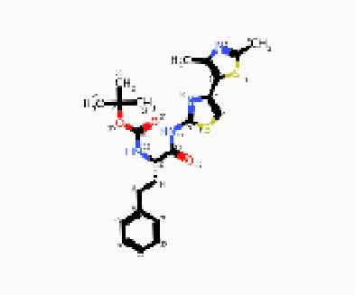 Cc1nc(C)c(-c2csc(NC(=O)[C@H](CCc3ccccc3)NC(=O)OC(C)(C)C)n2)s1